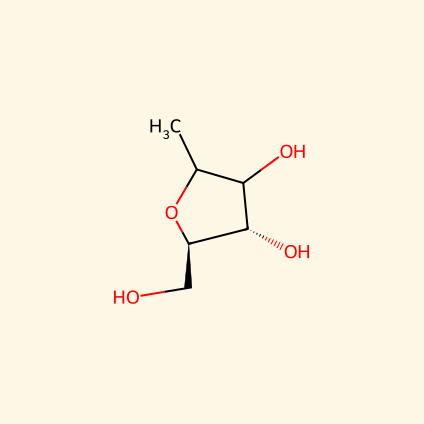 CC1O[C@H](CO)[C@@H](O)C1O